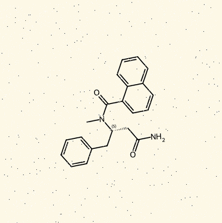 CN(C(=O)c1cccc2ccccc12)[C@H](CC(N)=O)Cc1ccccc1